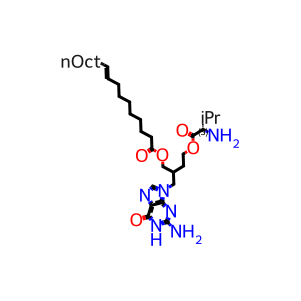 CCCCCCCCC=CCCCCCCCC(=O)OCC(CCOC(=O)[C@@H](N)C(C)C)Cn1cnc2c(=O)[nH]c(N)nc21